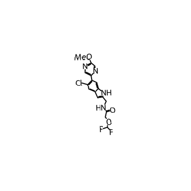 COc1cnc(-c2cc3[nH]c(CNC(=O)COC(F)F)cc3cc2Cl)cn1